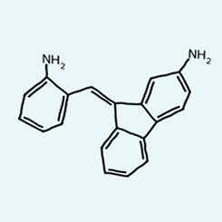 Nc1ccc2c(c1)/C(=C/c1ccccc1N)c1ccccc1-2